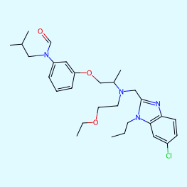 CCCn1c(CN(CCOCC)C(C)COc2cccc(N(C=O)CC(C)C)c2)nc2ccc(Cl)cc21